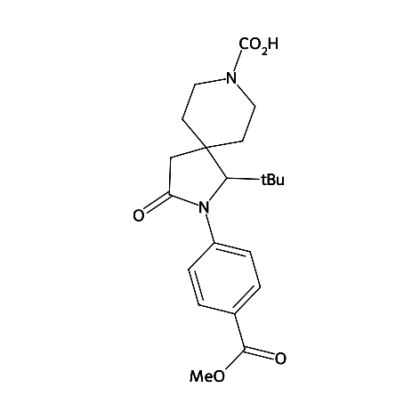 COC(=O)c1ccc(N2C(=O)CC3(CCN(C(=O)O)CC3)C2C(C)(C)C)cc1